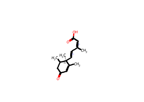 CC1=CC(=O)CC(C)[C@@]1(C)/C=C/C(C)=C\C(=O)O